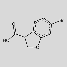 O=C(O)C1COc2cc(Br)ccc21